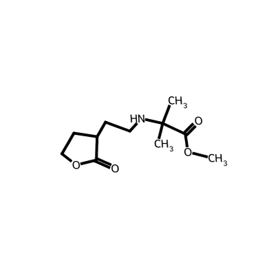 COC(=O)C(C)(C)NCCC1CCOC1=O